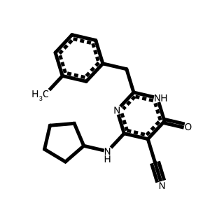 Cc1cccc(Cc2nc(NC3CCCC3)c(C#N)c(=O)[nH]2)c1